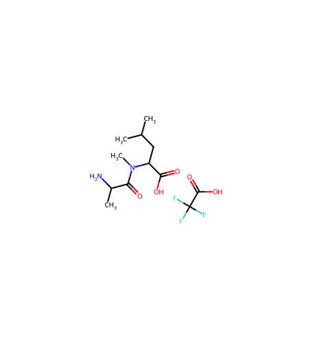 CC(C)CC(C(=O)O)N(C)C(=O)C(C)N.O=C(O)C(F)(F)F